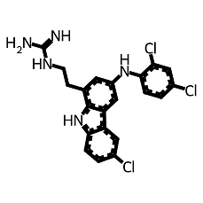 N=C(N)NCCc1cc(Nc2ccc(Cl)cc2Cl)cc2c1[nH]c1ccc(Cl)cc12